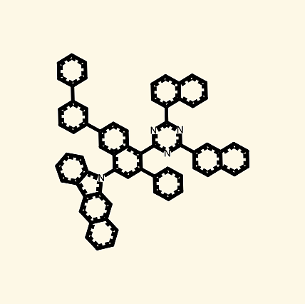 c1ccc(-c2cccc(-c3ccc4c(-c5nc(-c6ccc7ccccc7c6)nc(-c6cccc7ccccc67)n5)c(-c5ccccc5)cc(-n5c6ccccc6c6cc7ccccc7cc65)c4c3)c2)cc1